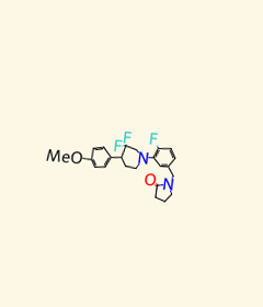 COc1ccc(C2CCN(c3cc(CN4CCCC4=O)ccc3F)CC2(F)F)cc1